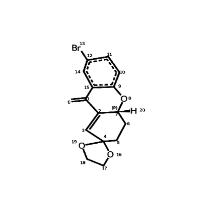 C=C1C2=CC3(CC[C@H]2Oc2ccc(Br)cc21)OCCO3